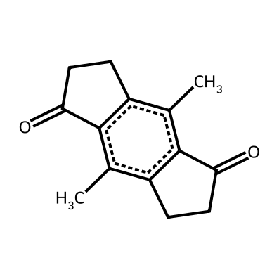 Cc1c2c(c(C)c3c1C(=O)CC3)C(=O)CC2